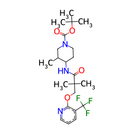 CC1CN(C(=O)OC(C)(C)C)CCC1NC(=O)C(C)(C)COc1ncccc1C(F)(F)F